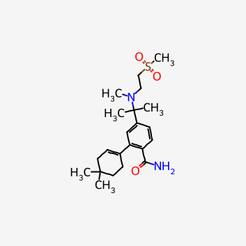 CN(CCS(C)(=O)=O)C(C)(C)c1ccc(C(N)=O)c(C2=CCC(C)(C)CC2)c1